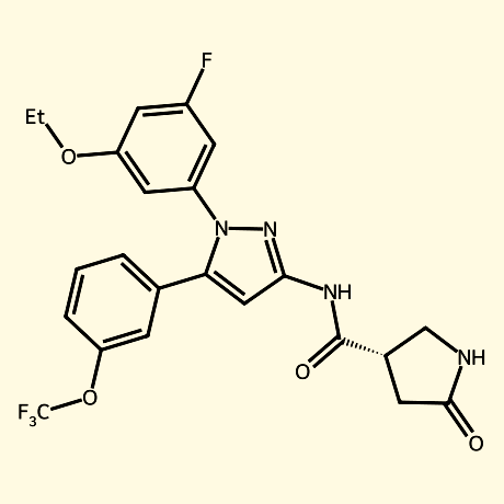 CCOc1cc(F)cc(-n2nc(NC(=O)[C@@H]3CNC(=O)C3)cc2-c2cccc(OC(F)(F)F)c2)c1